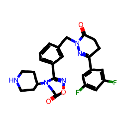 O=C1CCC(c2cc(F)cc(F)c2)=NN1Cc1cccc(-c2noc(=O)n2C2CCNCC2)c1